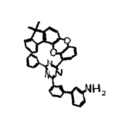 CC1(C)c2ccccc2-c2c1ccc1c2Oc2c(cccc2-c2nc(-c3ccccc3)nc(-c3cccc(-c4cccc(N)c4)c3)n2)O1